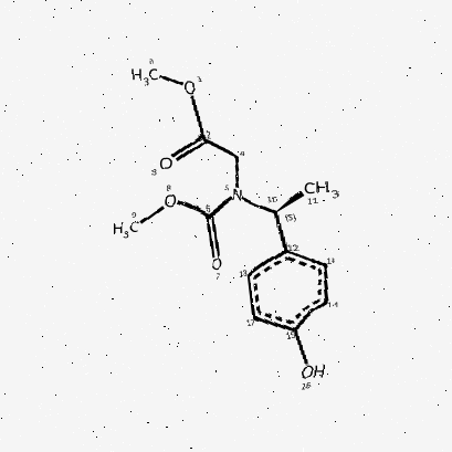 COC(=O)CN(C(=O)OC)[C@@H](C)c1ccc(O)cc1